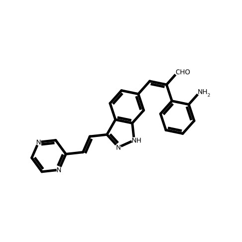 Nc1ccccc1C(C=O)=Cc1ccc2c(/C=C/c3cnccn3)n[nH]c2c1